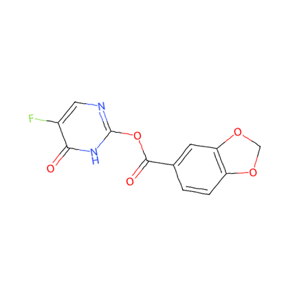 O=C(Oc1ncc(F)c(=O)[nH]1)c1ccc2c(c1)OCO2